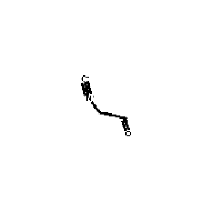 [C-]#[N+]C[C]=O